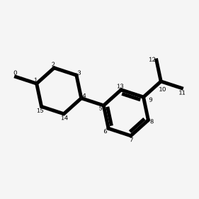 CC1CCC(c2cccc(C(C)C)c2)CC1